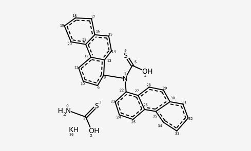 NC(O)=S.OC(=S)N(c1cccc2c1ccc1ccccc12)c1cccc2c1ccc1ccccc12.[KH]